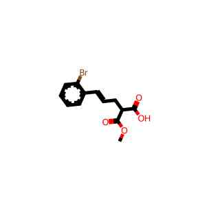 COC(=O)C(CC=Cc1ccccc1Br)C(=O)O